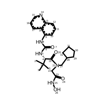 CC(C)(C)[C@H](NC(=O)Nc1cccc2ncccc12)C(=O)N(CC(=O)NO)CC1CCCC1